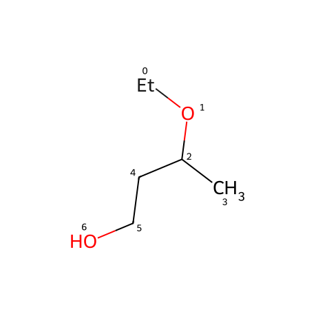 [CH2]COC(C)CCO